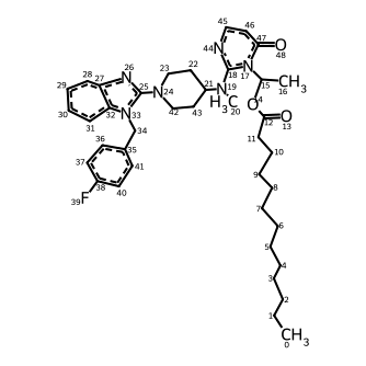 CCCCCCCCCCCCC(=O)OC(C)n1c(N(C)C2CCN(c3nc4ccccc4n3Cc3ccc(F)cc3)CC2)nccc1=O